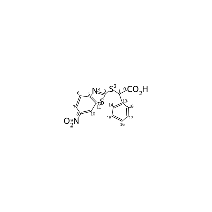 O=C(O)C(Sc1nc2ccc([N+](=O)[O-])cc2s1)c1ccccc1